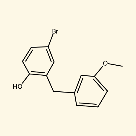 COc1cccc(Cc2cc(Br)ccc2O)c1